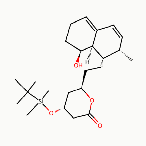 C[C@H]1C=CC2=CCC[C@H](O)[C@@H]2[C@H]1CC[C@@H]1C[C@@H](O[Si](C)(C)C(C)(C)C)CC(=O)O1